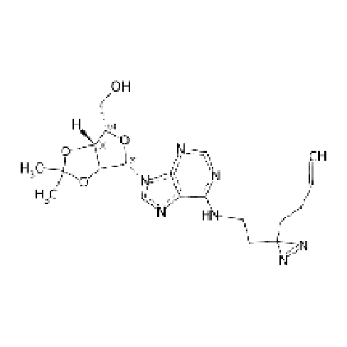 C#CCCC1(CCNc2ncnc3c2ncn3[C@H]2O[C@@H](CO)[C@H]3OC(C)(C)OC32)N=N1